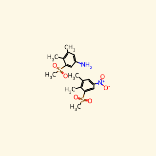 Cc1cc(N)cc(S(C)(=O)=O)c1C.Cc1cc([N+](=O)[O-])cc(S(C)(=O)=O)c1C